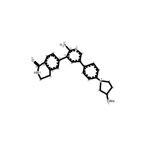 COC1CCN(c2ccc(-c3cnc(N)c(-c4ccc5c(c4)CCNC5=O)c3)cc2)C1